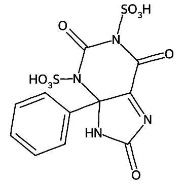 O=C1N=C2C(=O)N(S(=O)(=O)O)C(=O)N(S(=O)(=O)O)C2(c2ccccc2)N1